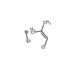 CC(C)=CCl.CCBr